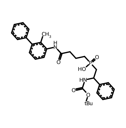 Cc1c(NC(=O)CCCP(=O)(O)CC(NC(=O)OC(C)(C)C)c2ccccc2)cccc1-c1ccccc1